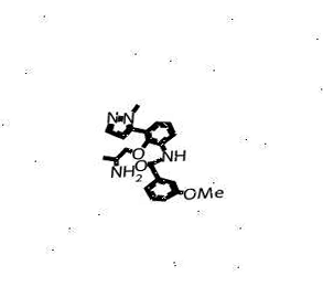 COc1cccc(C(=O)Nc2cccc(-c3ccnn3C)c2OCC(C)N)c1